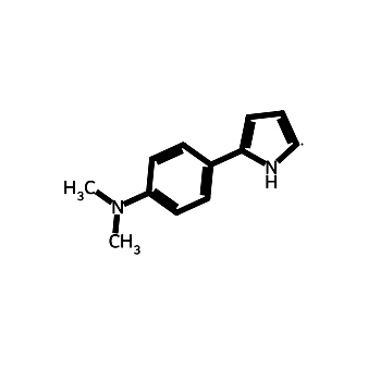 CN(C)c1ccc(-c2cc[c][nH]2)cc1